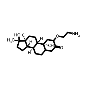 C[C@]12CC(OCCN)C(=O)CC1CC[C@@H]1[C@@H]2CC[C@@]2(C)[C@H]1CC[C@]2(C)O